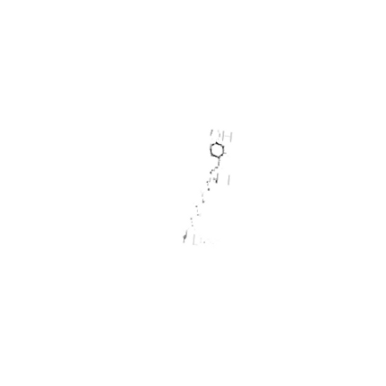 CCCCCCCCCCCCCCCCCCCNCCc1ccc(O)cc1